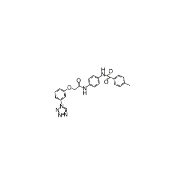 Cc1ccc(S(=O)(=O)Nc2ccc(NC(=O)COc3cccc(-n4cnnn4)c3)cc2)cc1